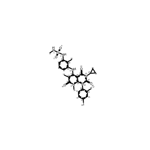 CNS(=O)(=O)Nc1cccc(Nc2c(C)c(=O)n(C)c3c2c(=O)n(C2CC2)c(=O)n3-c2ccc(I)cc2F)c1C